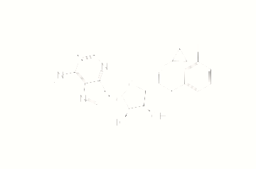 Nc1ncnc2c1ncn2[C@@H]1O[C@H](C(Cc2cccc(I)c2)OC2CC2)[C@@H](O)[C@H]1O